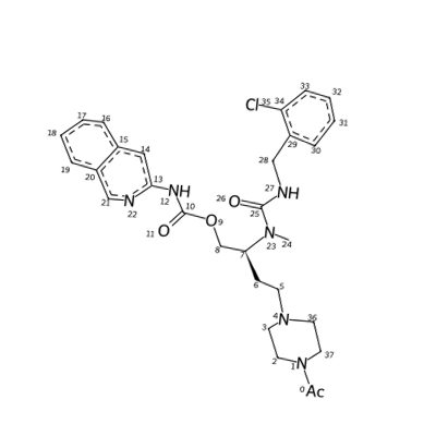 CC(=O)N1CCN(CC[C@@H](COC(=O)Nc2cc3ccccc3cn2)N(C)C(=O)NCc2ccccc2Cl)CC1